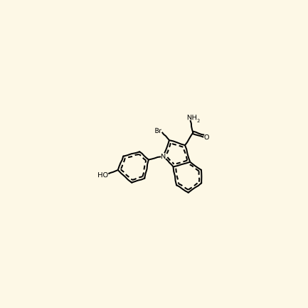 NC(=O)c1c(Br)n(-c2ccc(O)cc2)c2ccccc12